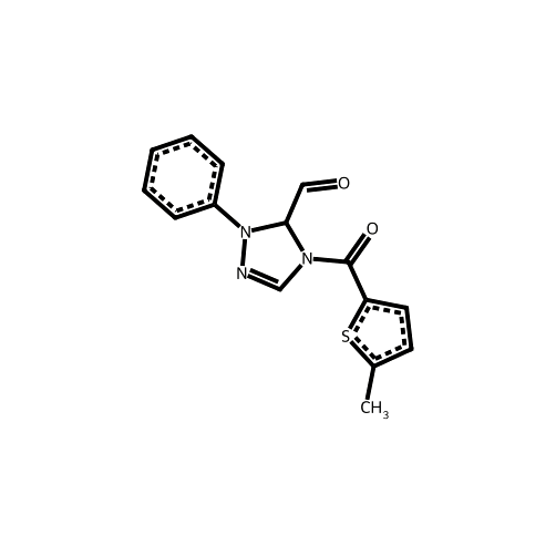 Cc1ccc(C(=O)N2C=NN(c3ccccc3)C2C=O)s1